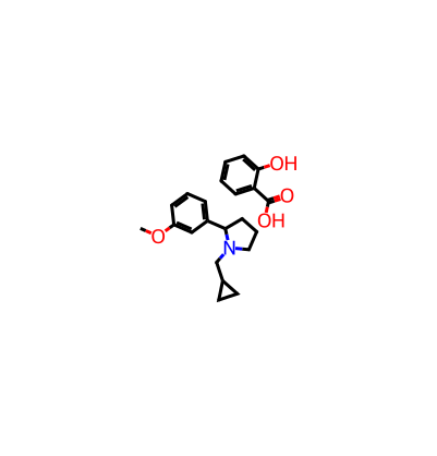 COc1cccc(C2CCCN2CC2CC2)c1.O=C(O)c1ccccc1O